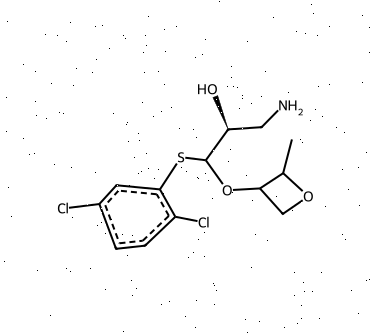 CC1OCC1OC(Sc1cc(Cl)ccc1Cl)[C@@H](O)CN